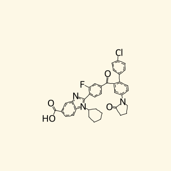 O=C(O)c1ccc2c(c1)nc(-c1ccc(C(=O)c3cc(N4CCCC4=O)ccc3-c3ccc(Cl)cc3)cc1F)n2C1CCCCC1